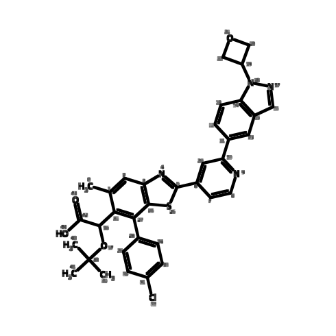 Cc1cc2nc(-c3ccnc(-c4ccc5c(cnn5C5COC5)c4)c3)sc2c(-c2ccc(Cl)cc2)c1C(OC(C)(C)C)C(=O)O